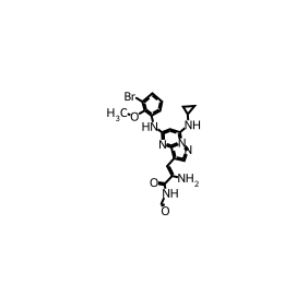 COc1c(Br)cccc1Nc1cc(NC2CC2)n2ncc(/C=C(\N)C(=O)NC=O)c2n1